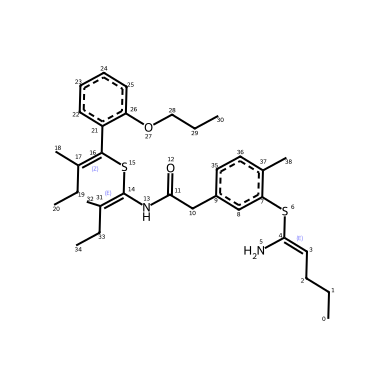 CCC/C=C(\N)Sc1cc(CC(=O)N/C(S/C(=C(/C)CC)c2ccccc2OCCC)=C(/C)CC)ccc1C